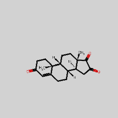 C[C@]12CCC(=O)C=C1CC[C@@H]1[C@H]2CC[C@]2(C)C(=O)C(=O)C[C@@H]12